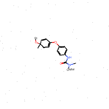 CCOC1(C)C=CC(Oc2ccc(NC(=O)N(C)OC)cc2)=CC1